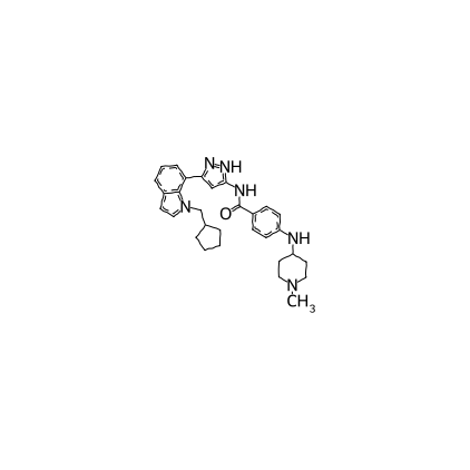 CN1CCC(Nc2ccc(C(=O)Nc3cc(-c4cccc5ccn(CC6CCCC6)c45)n[nH]3)cc2)CC1